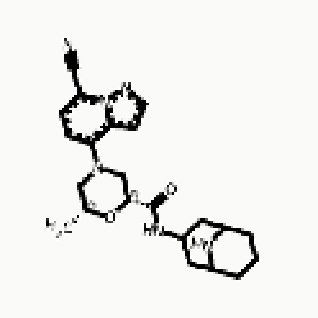 C[C@@H]1CN(c2ccc(C#N)n3nccc23)C[C@H](C(=O)NC2CC3CCCC(C2)N3)O1